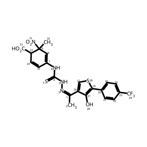 C/C(=N/NC(=S)NC1=CC(C)([N+](=O)[O-])C(C(=O)O)C=C1)c1csc(-c2ccc(C(F)(F)F)cc2)c1O